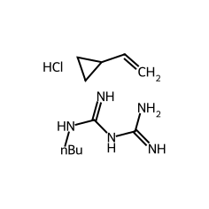 C=CC1CC1.CCCCNC(=N)NC(=N)N.Cl